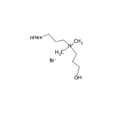 CCCCCCCCC[N+](C)(C)CCCO.[Br-]